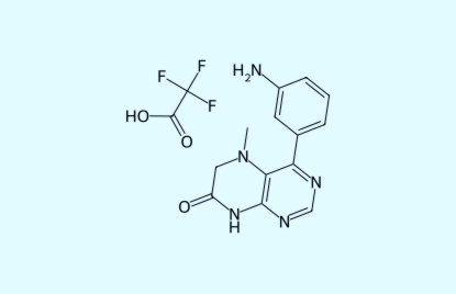 CN1CC(=O)Nc2ncnc(-c3cccc(N)c3)c21.O=C(O)C(F)(F)F